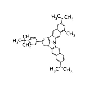 Cc1cc(C(C)C)cc2cc3c4cc(-c5ccc(C(C)(C)C)cc5)cc5c6cc7cc(C(C)C)ccc7cc6n(c3cc12)c54